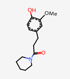 COc1cc(CCC(=O)N2CCCCC2)ccc1O